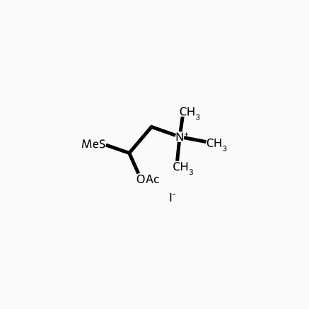 CSC(C[N+](C)(C)C)OC(C)=O.[I-]